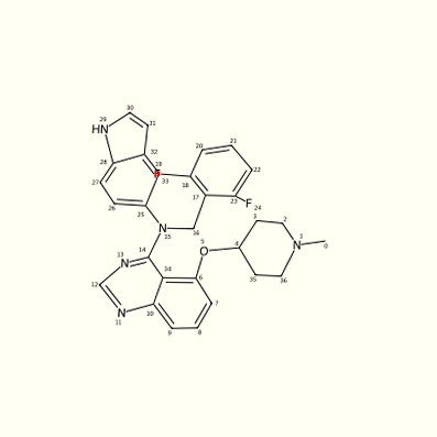 CN1CCC(Oc2cccc3ncnc(N(Cc4c(F)cccc4F)c4ccc5[nH]ccc5c4)c23)CC1